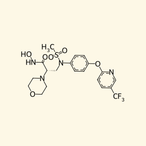 CS(=O)(=O)N(C[C@@H](C(=O)NO)N1CCOCC1)c1ccc(Oc2ccc(C(F)(F)F)cn2)cc1